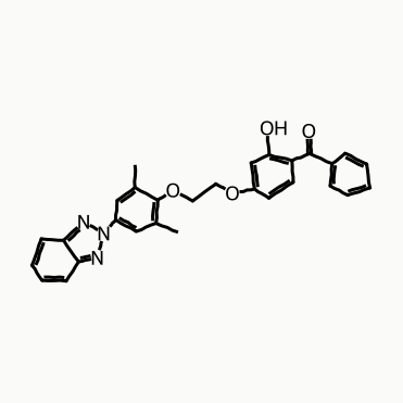 Cc1cc(-n2nc3ccccc3n2)cc(C)c1OCCOc1ccc(C(=O)c2ccccc2)c(O)c1